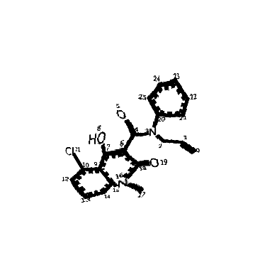 C=CCN(C(=O)c1c(O)c2c(Cl)cccc2n(C)c1=O)c1ccccc1